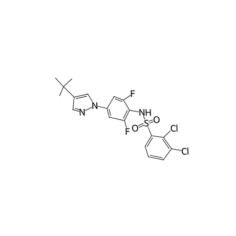 CC(C)(C)c1cnn(-c2cc(F)c(NS(=O)(=O)c3cccc(Cl)c3Cl)c(F)c2)c1